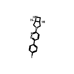 Ic1ccc(-c2ccc(N3C[C@@H]4CN[C@@H]4C3)nn2)cc1